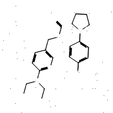 CCN(CC)c1ccc(CNC(=O)[C@@H]2CCCN2c2ccc(F)cc2)cn1